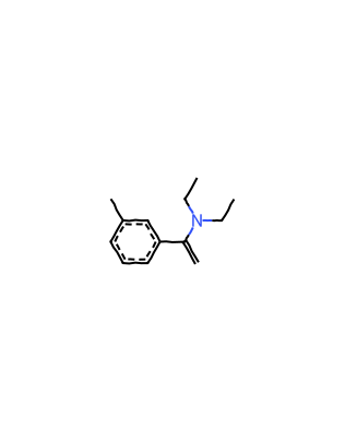 C=C(c1cccc(C)c1)N(CC)CC